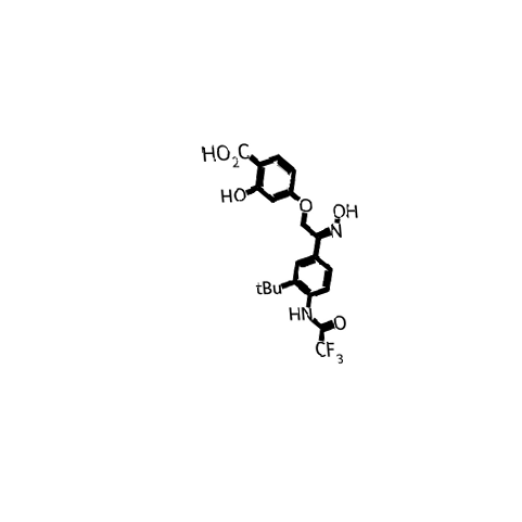 CC(C)(C)c1cc(/C(COc2ccc(C(=O)O)c(O)c2)=N/O)ccc1NC(=O)C(F)(F)F